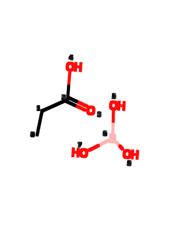 CCC(=O)O.OB(O)O